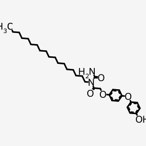 CCCCCCCCCCCCCCCCCCN(C(N)=O)C(=O)COc1ccc(Oc2ccc(O)cc2)cc1